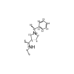 CCN[C@@H](C)[C@H]1CCN([C@@H](C)c2ccccc2)C1